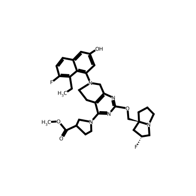 CCc1c(F)ccc2cc(O)cc(N3CCc4c(nc(OC[C@@]56CCCN5C[C@H](F)C6)nc4N4CCC(C(=O)OC)C4)C3)c12